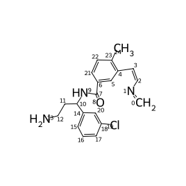 C=N/C=C\c1cc(C(=O)NC(CCN)c2cccc(Cl)c2)ccc1C